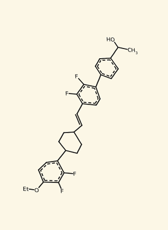 CCOc1ccc(C2CCC(/C=C/c3ccc(-c4ccc(C(C)O)cc4)c(F)c3F)CC2)c(F)c1F